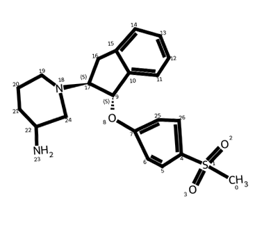 CS(=O)(=O)c1ccc(O[C@H]2c3ccccc3C[C@@H]2N2CCCC(N)C2)cc1